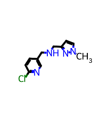 Cn1ccc(CNCc2ccc(Cl)nc2)n1